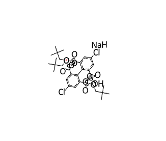 CC(C)(C)COS(=O)(=O)c1cc(Cl)cc(S(=O)(=O)O)c1-c1c(S(=O)(=O)OCC(C)(C)C)cc(Cl)cc1S(=O)(=O)OCC(C)(C)C.[NaH]